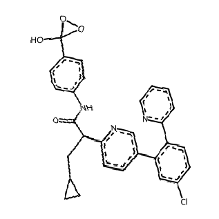 O=C(Nc1ccc(C2(O)OO2)cc1)C(CC1CC1)c1ccc(-c2cc(Cl)ccc2-c2ccccn2)cn1